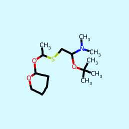 CC(OC1CCCCO1)SCC(OC(C)(C)C)N(C)C